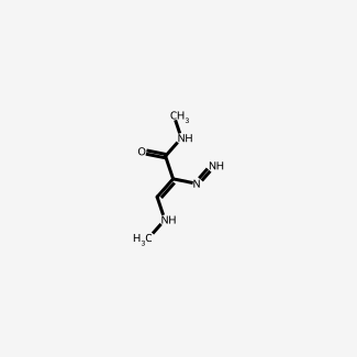 CN/C=C(\N=N)C(=O)NC